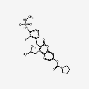 CNS(=O)(=O)Nc1cccc(Cc2c(CN(C)C)c3ccc(OC(=O)N4CCCC4)cc3oc2=O)c1F